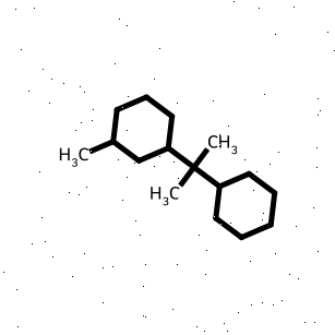 CC1CCCC(C(C)(C)C2CCCCC2)C1